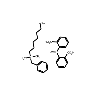 CCCCCCCCCCCCCCCC[N+](C)(C)Cc1ccccc1.O=C(O)c1ccccc1[S+]([O-])c1ccccc1C(=O)O